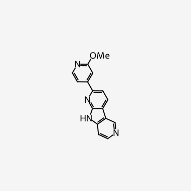 COc1cc(-c2ccc3c(n2)[nH]c2ccncc23)ccn1